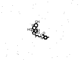 Cc1ccc2nc(CC[C@@H](C)[C@H]3CC[C@H]4[C@H]5C(C[C@H](O)[C@]34C)[C@@]3(C)CC[C@@H](O)C[C@H]3C[C@H]5O)oc(=O)c2c1